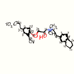 C[N+](C)(CCc1ccc2c(c1)CCCC2)C[C@@H](O)COc1ccc(CCC(=O)O)cc1C#N